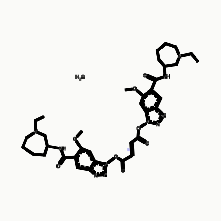 CCN1CCCCC(NC(=O)c2cc3nnn(OC(=O)/C=C/C(=O)On4nnc5cc(C(=O)NC6CCCCN(CC)C6)c(OC)cc54)c3cc2OC)C1.O